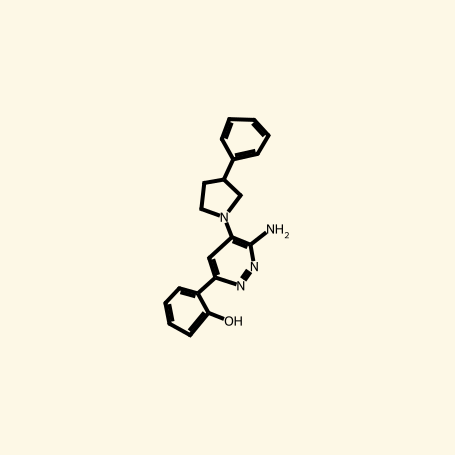 Nc1nnc(-c2ccccc2O)cc1N1CCC(c2ccccc2)C1